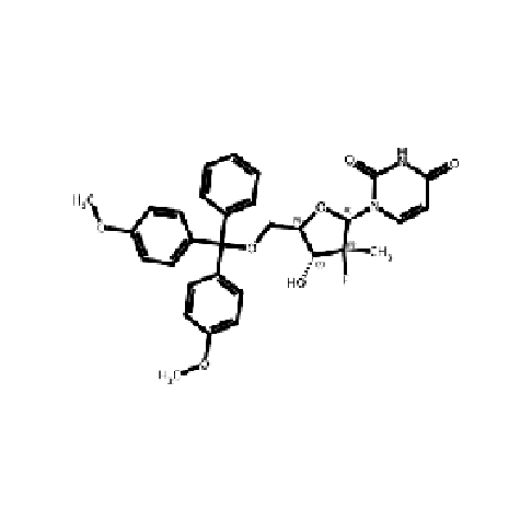 COc1ccc(C(OC[C@H]2O[C@@H](n3ccc(=O)[nH]c3=O)[C@](C)(F)[C@@H]2O)(c2ccccc2)c2ccc(OC)cc2)cc1